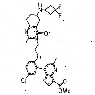 COC(=O)c1csc2c(-c3cc(Cl)ccc3OCCn3c(C)nc4c(c3=O)CC(NC3CC(F)(F)C3)CC4)cc(C)nc12